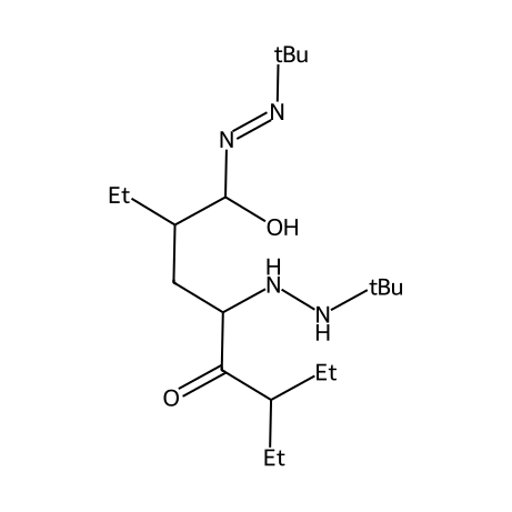 CCC(CC)C(=O)C(CC(CC)C(O)N=NC(C)(C)C)NNC(C)(C)C